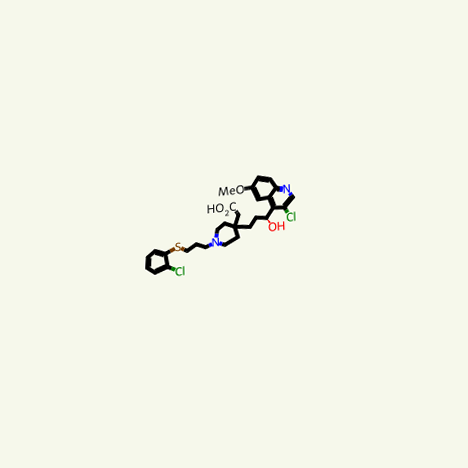 COc1ccc2ncc(Cl)c([C@H](O)CCC3(CC(=O)O)CCN(CCCSc4ccccc4Cl)CC3)c2c1